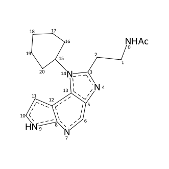 CC(=O)NCCc1nc2cnc3[nH]ccc3c2n1C1CCCCC1